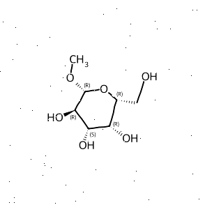 CO[C@@H]1O[C@H](CO)[C@H](O)[C@H](O)[C@H]1O